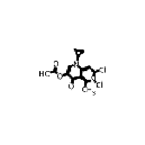 CC1=c2c(=O)c(OC(=O)O)cn(C3CC3)c2=CC(Cl)N1Cl